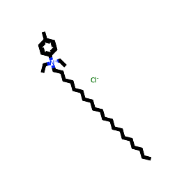 CCCCCCCCCCCCCCCCCCCC[N+](CC)(CC)c1ccc(C)cc1.[Cl-]